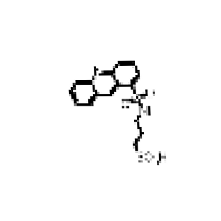 O=S(=O)(O)CCCNS(=O)(=O)c1cccc2nc3ccccc3cc12